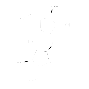 OC[C@H]1O[C@@H](O[C@H]2O[C@H](CO)[C@@H](O)[C@@H]2O)[C@@H](O)[C@@H]1O